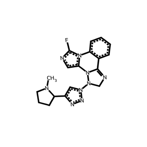 CN1CCCC1c1cn(N2CN=C3c4ccccc4-n4c(cnc4F)N32)nn1